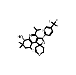 CC(C)c1nc2c(c3c1[C@@H](c1ccc(C(F)(F)F)cn1)OC31CCOCC1)C(O)CC(C)(C)[C@H]2O